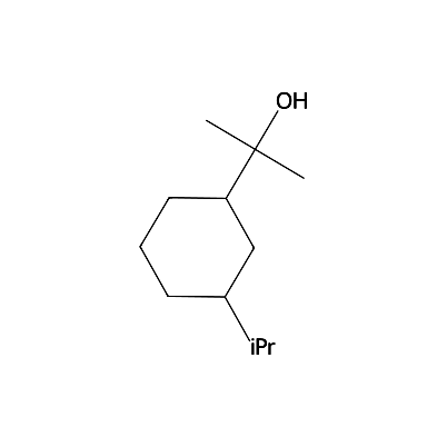 CC(C)C1CCCC(C(C)(C)O)C1